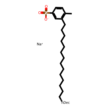 CCCCCCCCCCCCCCCCCCCCCCCCc1cc(S(=O)(=O)[O-])ccc1C.[Na+]